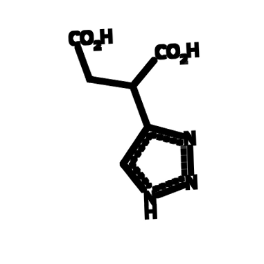 O=C(O)CC(C(=O)O)c1c[nH]nn1